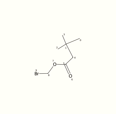 CC(C)(C)CC(=O)OCBr